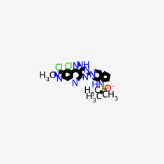 Cn1nc2ccc(-c3n[nH]c4nc(N5CCC6(CCC[C@H]6N[S@+]([O-])C(C)(C)C)CC5)nc(C#N)c34)c(Cl)c2c1Cl